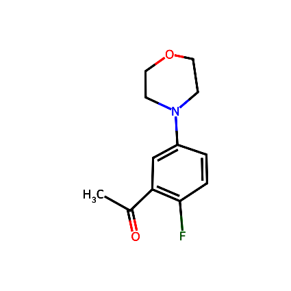 CC(=O)c1cc(N2CCOCC2)ccc1F